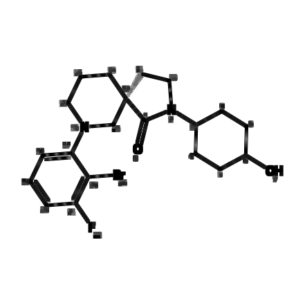 O=C1N(C2CCC(O)CC2)CC[C@]12CCCN(c1cccc(F)c1Br)C2